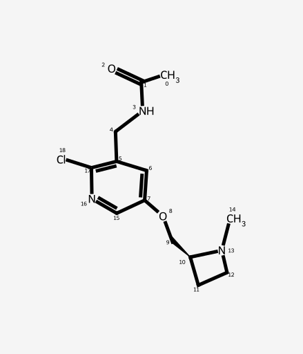 CC(=O)NCc1cc(OC[C@@H]2CCN2C)cnc1Cl